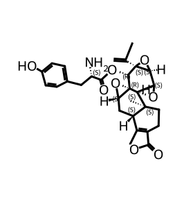 C=C(C)[C@]12O[C@H]1[C@@H]1O[C@]13[C@]1(O[C@H]1C[C@H]1C4=C(CC[C@@]13C)C(=O)OC4)[C@@H]2OC(=O)[C@@H](N)Cc1ccc(O)cc1